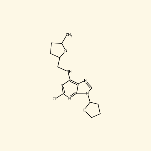 CC1CCC(CNc2nc(Cl)nc3c2ncn3C2CCCO2)O1